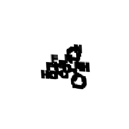 O=C(Nc1cnccn1)c1ccccc1.O=C(O)C(F)(F)F